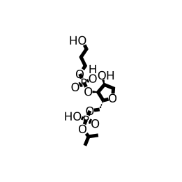 CC(C)OP(=O)(O)OC[C@H]1OC[C@H](O)[C@@H]1OP(=O)(O)OCCCO